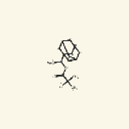 CCC(C)(C)C(=O)OC(OC)C12CC3CC(CC(C3)C1)C2